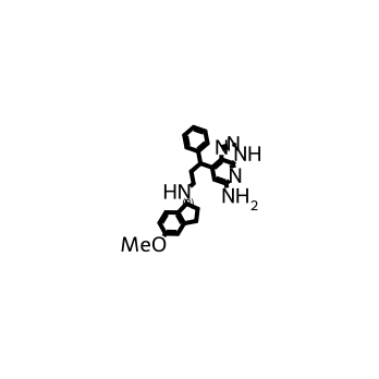 COc1ccc2c(c1)CC[C@H]2NCCC(c1ccccc1)c1cc(N)nc2[nH]nnc12